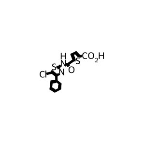 O=C(O)c1ccc(C(=O)Nc2nc(-c3ccccc3)c(Cl)s2)s1